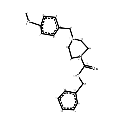 COc1ccc(CN2CCN(C(=O)OCc3ccccc3)CC2)cc1